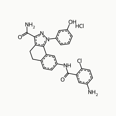 Cl.NC(=O)c1nn(-c2cccc(O)c2)c2c1CCc1ccc(NC(=O)c3cc(N)ccc3Cl)cc1-2